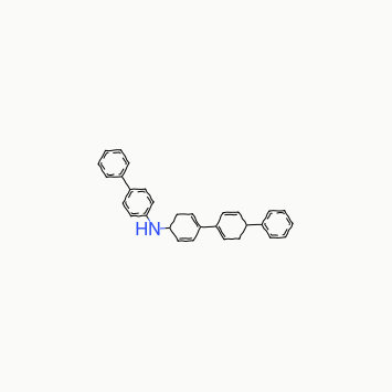 C1=CC(Nc2ccc(-c3ccccc3)cc2)CC=C1C1=CCC(c2ccccc2)C=C1